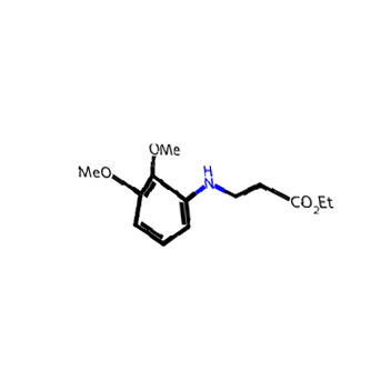 CCOC(=O)CCNc1cccc(OC)c1OC